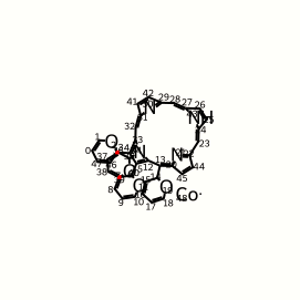 C1=COC(c2c(C3C=CC=CO3)c3c(C4C=CC=CO4)c4nc(cc5ccc(cc6nc(cc2n3C2C=CC=CO2)C=C6)[nH]5)C=C4)C=C1.[Co]